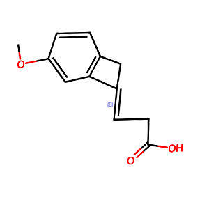 COc1ccc2c(c1)/C(=C/CC(=O)O)C2